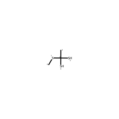 CSC(C)(S)S